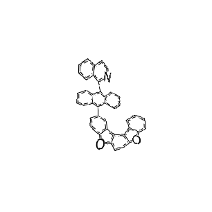 c1ccc2c(-c3c4ccccc4c(-c4ccc5oc6ccc7oc8ccccc8c7c6c5c4)c4ccccc34)nccc2c1